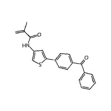 C=C(C)C(=O)Nc1csc(-c2ccc(C(=O)c3ccccc3)cc2)c1